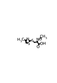 CON=C(CSc1nc(C)[c]s1)C(=O)O